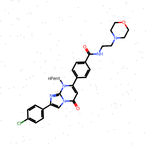 CCCCCn1c(-c2ccc(C(=O)NCCN3CCOCC3)cc2)cc(=O)n2cc(-c3ccc(Cl)cc3)nc12